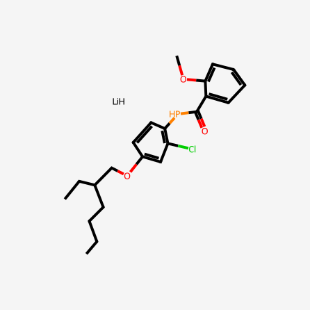 CCCCC(CC)COc1ccc(PC(=O)c2ccccc2OC)c(Cl)c1.[LiH]